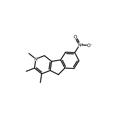 CC1=C(C)N(C)CC2=C1Cc1ccc([N+](=O)[O-])cc12